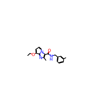 CCOc1cccn2c(C(=O)NCc3cccc(C)c3)c(C)nc12